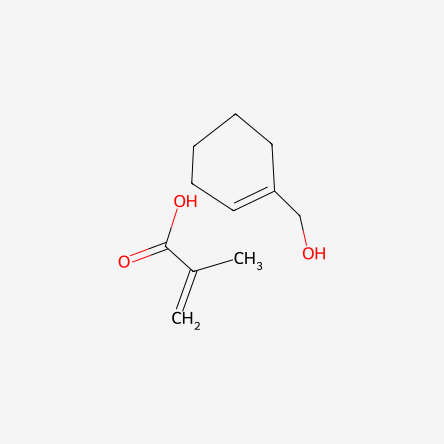 C=C(C)C(=O)O.OCC1=CCCCC1